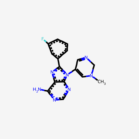 CN1C=C(n2c(-c3cccc(F)c3)nc3c(N)ncnc32)C=NC1